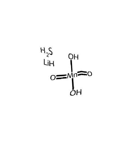 S.[LiH].[O]=[Mn](=[O])([OH])[OH]